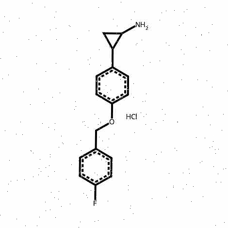 Cl.NC1CC1c1ccc(OCc2ccc(F)cc2)cc1